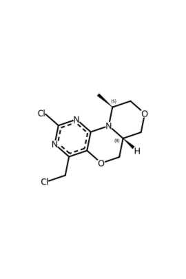 C[C@H]1COC[C@@H]2COc3c(CCl)nc(Cl)nc3N21